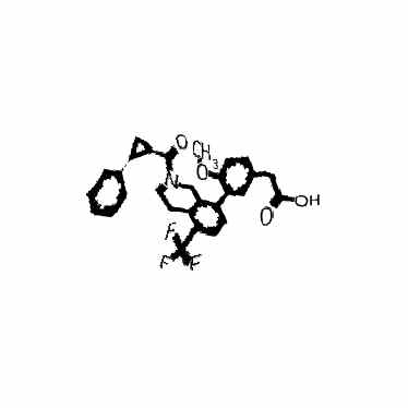 COc1ccc(CC(=O)O)cc1-c1ccc(C(F)(F)F)c2c1CN(C(=O)[C@@H]1C[C@H]1c1ccccc1)CC2